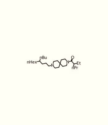 CCCCCCC(CCCC)CCCN1CCC2(CC1)CCN(C(=O)C(CC)CCC)CC2